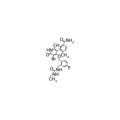 CCNC(=O)NCc1cc(F)ccc1COc1c(-c2cc(C(N)=O)ccc2C)c(C)[nH]c(=O)c1Br